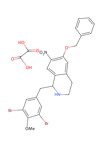 COc1c(Br)cc(CC2NCCc3cc(OCc4ccccc4)c([N+](=O)[O-])cc32)cc1Br.O=C(O)C(=O)O